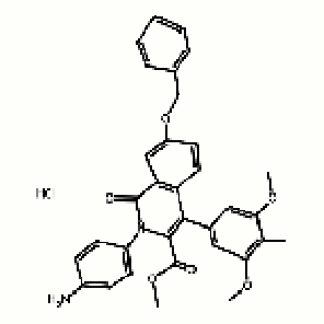 COC(=O)c1c(-c2cc(OC)c(C)c(OC)c2)c2ccc(OCc3ccccc3)cc2c(=O)n1-c1ccc(N)cc1.Cl